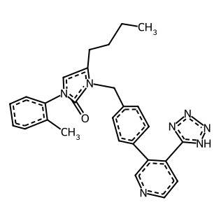 CCCCc1cn(-c2ccccc2C)c(=O)n1Cc1ccc(-c2cnccc2-c2nnn[nH]2)cc1